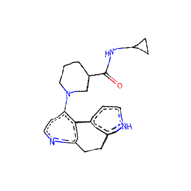 O=C(NC1CC1)C1CCCN(c2ccnc3c2-c2cc[nH]c2CC3)C1